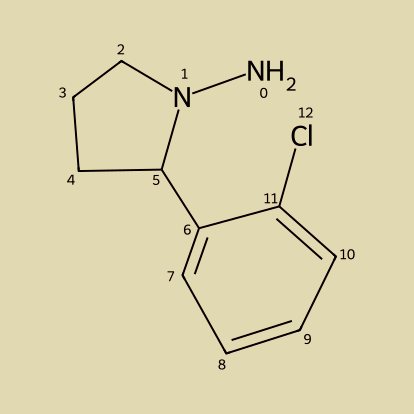 NN1CCCC1c1ccccc1Cl